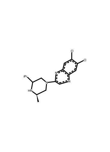 CC(C)C1CN(c2cnc3cc(Cl)c(Cl)cc3n2)C[C@@H](C)N1